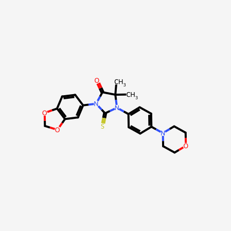 CC1(C)C(=O)N(c2ccc3c(c2)OCO3)C(=S)N1c1ccc(N2CCOCC2)cc1